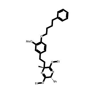 CCOC1=N[C@](C)(CCc2ccc(OCCCCc3ccccc3)c(OC)c2)C(OCC)=N[C@@H]1C(C)C